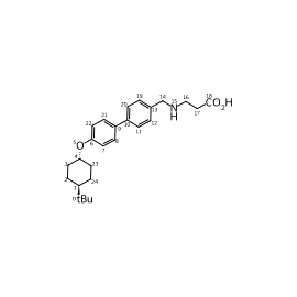 CC(C)(C)[C@H]1CC[C@H](Oc2ccc(-c3ccc(CNCCC(=O)O)cc3)cc2)CC1